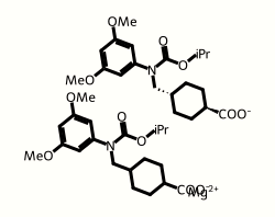 COc1cc(OC)cc(N(CC2CCC(C(=O)[O-])CC2)C(=O)OC(C)C)c1.COc1cc(OC)cc(N(C[C@H]2CC[C@H](C(=O)[O-])CC2)C(=O)OC(C)C)c1.[Mg+2]